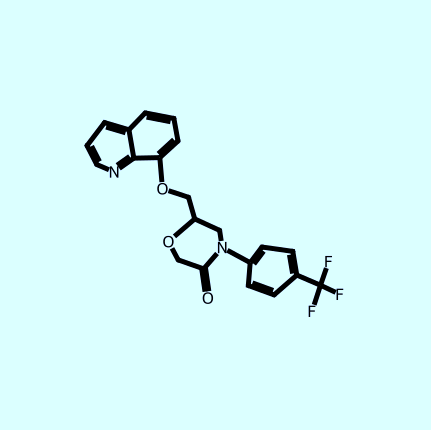 O=C1COC(COc2cccc3cccnc23)CN1c1ccc(C(F)(F)F)cc1